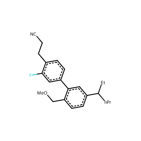 CCCC(CC)c1ccc(COC)c(-c2ccc(CCC#N)c(F)c2)c1